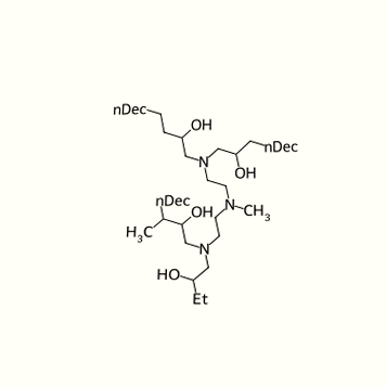 CCCCCCCCCCCCC(O)CN(CCN(C)CCN(CC(O)CC)CC(O)C(C)CCCCCCCCCC)CC(O)CCCCCCCCCCC